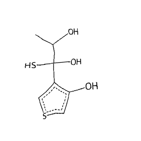 CC(O)C(O)(S)c1cscc1O